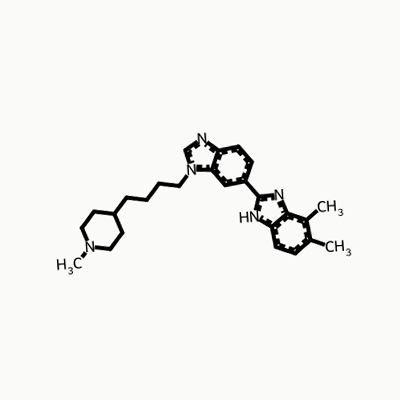 Cc1ccc2[nH]c(-c3ccc4ncn(CCCCC5CCN(C)CC5)c4c3)nc2c1C